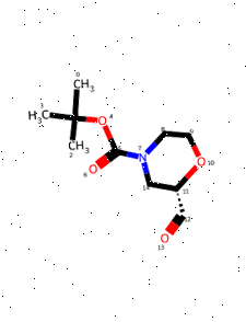 CC(C)(C)OC(=O)N1CCO[C@H](C=O)C1